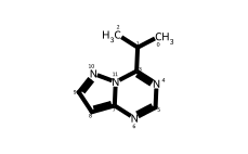 CC(C)c1ncnc2ccnn12